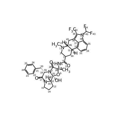 CN1CC(C(=O)N[C@]2(C)O[C@@]3(O)[C@@H]4CCCN4C(=O)[C@H](Cc4ccccc4)N3C2=O)C[C@@H]2c3cccc4c3c(c(C(F)(F)F)n4C(F)F)C[C@H]21